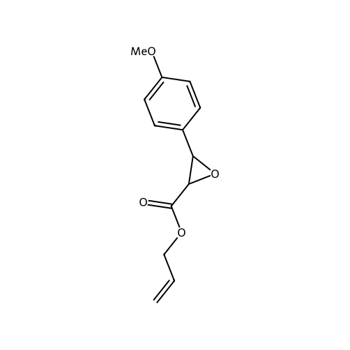 C=CCOC(=O)C1OC1c1ccc(OC)cc1